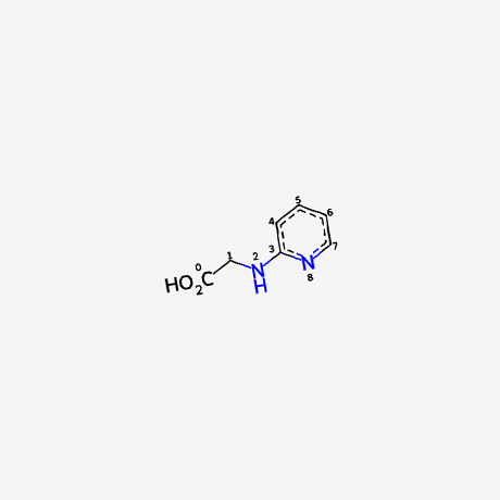 O=C(O)CNc1ccccn1